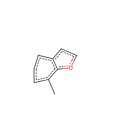 Cc1cccc2c[c]oc12